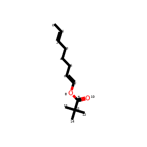 CC=CCCCC=COC(=O)C(C)(C)C